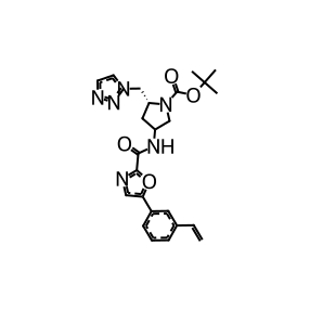 C=Cc1cccc(-c2cnc(C(=O)NC3C[C@H](Cn4ccnn4)N(C(=O)OC(C)(C)C)C3)o2)c1